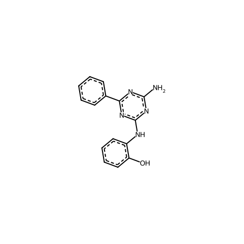 Nc1nc(Nc2ccccc2O)nc(-c2ccccc2)n1